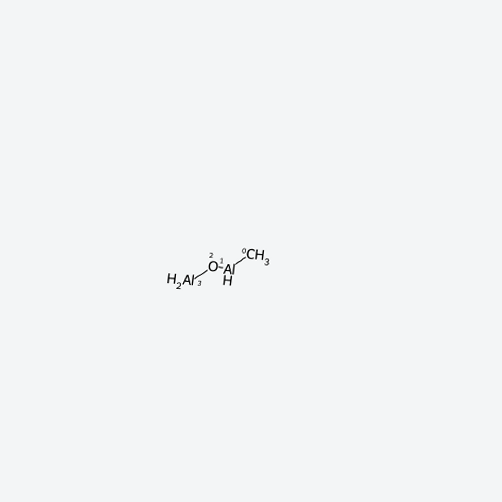 [CH3][AlH][O][AlH2]